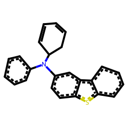 C1=CCC(N(c2ccccc2)c2ccc3sc4ccccc4c3c2)C=C1